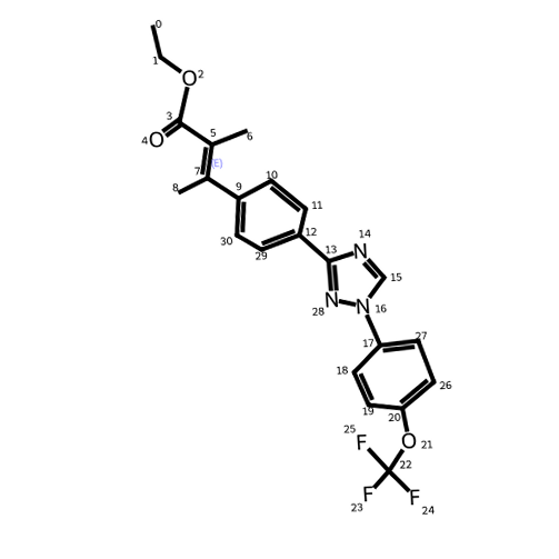 CCOC(=O)/C(C)=C(\C)c1ccc(-c2ncn(-c3ccc(OC(F)(F)F)cc3)n2)cc1